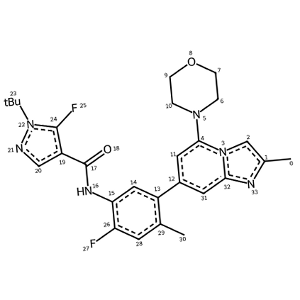 Cc1cn2c(N3CCOCC3)cc(-c3cc(NC(=O)c4cnn(C(C)(C)C)c4F)c(F)cc3C)cc2n1